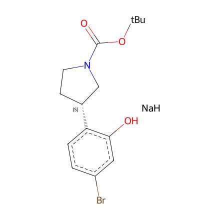 CC(C)(C)OC(=O)N1CC[C@@H](c2ccc(Br)cc2O)C1.[NaH]